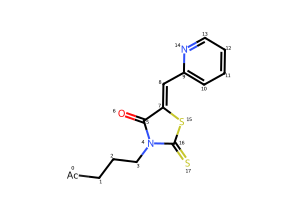 CC(=O)CCCN1C(=O)/C(=C/c2ccccn2)SC1=S